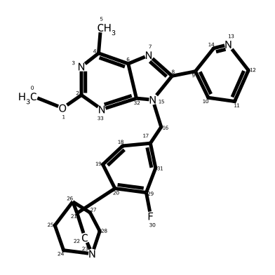 COc1nc(C)c2nc(-c3cccnc3)n(Cc3ccc(C4CN5CCC4CC5)c(F)c3)c2n1